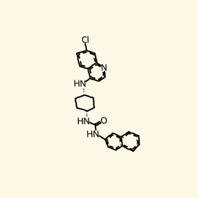 O=C(Nc1ccc2ccccc2c1)N[C@H]1CC[C@@H](Nc2ccnc3cc(Cl)ccc23)CC1